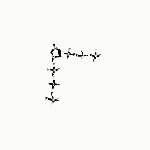 CN1C=CN(C)C1.F[B-](F)(F)F.F[B-](F)(F)F.F[B-](F)(F)F.F[B-](F)(F)F.F[B-](F)(F)F.F[B-](F)(F)F